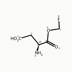 N[C@@H](CC(=O)O)C(=O)OCF